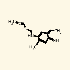 C=C=CNCNC1=C/C(=C/C)C(=N)C=C1C